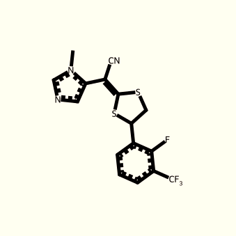 Cn1cncc1/C(C#N)=C1/SCC(c2cccc(C(F)(F)F)c2F)S1